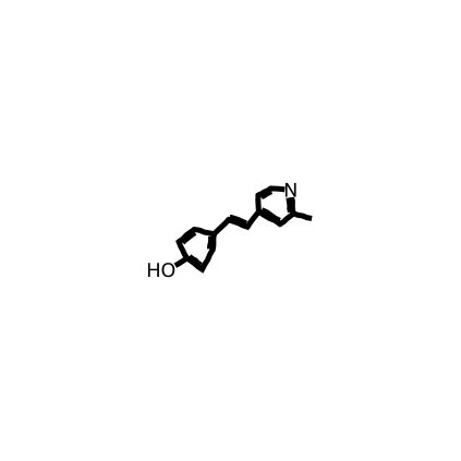 Cc1cc(/C=C/c2ccc(O)cc2)ccn1